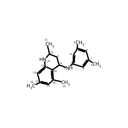 Cc1cc(C)cc(NC2CC(C)Nc3cc(C)cc(C)c32)c1